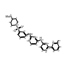 CNC1CCN(S(=O)(=O)c2cccc(Nc3nccc(Nc4ccnc(-c5cccc(C)n5)n4)n3)c2)CC1